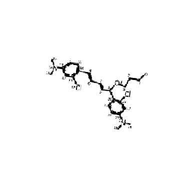 CCCCOC(/C=C/C=C/c1ccc(N(C)C)cc1Cl)c1ccc(N(C)C)cc1Cl